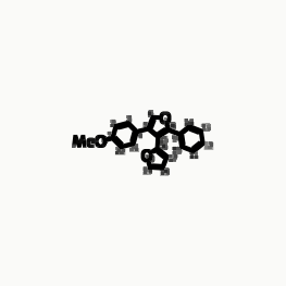 COc1ccc(-c2coc(-c3ccccc3)c2-c2ccco2)cc1